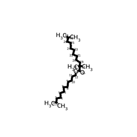 CC(C)CCCCCCCCCCOC(=O)C(C)(C)CCCCCCCCC(C)C